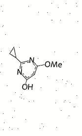 COc1cc(O)nc(C2CC2)n1